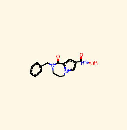 O=C(NO)c1cc2n(c1)CCCN(Cc1ccccc1)C2=O